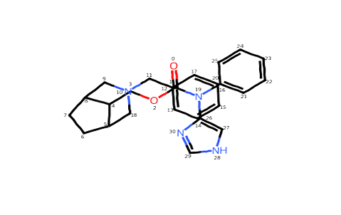 O=C(OCC1C2CCC1CN(Cc1ccccc1)C2)N(c1ccccc1)c1c[nH]cn1